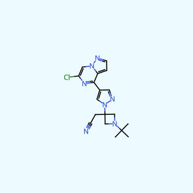 CC(C)(C)N1CC(CC#N)(n2cc(-c3nc(Cl)cn4nccc34)cn2)C1